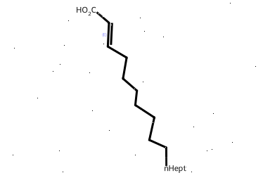 CCCCCCCCCCCCCC/C=C/C(=O)O